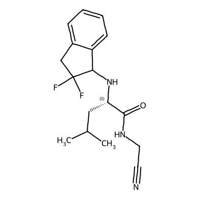 CC(C)C[C@H](NC1c2ccccc2CC1(F)F)C(=O)NCC#N